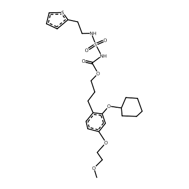 COCCOc1ccc(CCCOC(=O)NS(=O)(=O)NCCc2cccs2)c(OC2CCCCC2)c1